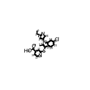 CCn1cc(-n2c(C)c(Sc3cc(C(=O)O)ccn3)c3ccc(Cl)cc32)cn1